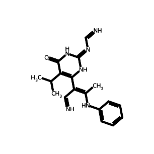 C/C(Nc1ccccc1)=C(/C=N)c1[nH]/c(=N/C=N)[nH]c(=O)c1C(C)C